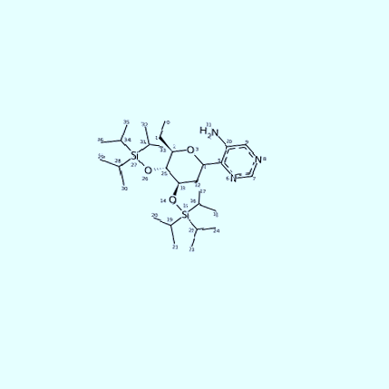 CC[C@H]1OC(c2ncncc2N)C[C@@H](O[Si](C(C)C)(C(C)C)C(C)C)[C@@H]1O[Si](C(C)C)(C(C)C)C(C)C